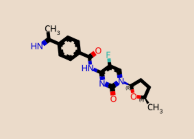 CC(=N)c1ccc(C(=O)Nc2nc(=O)n([C@H]3CC[C@@H](C)O3)cc2F)cc1